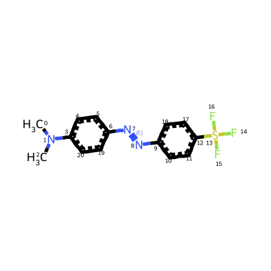 CN(C)c1ccc(/N=N/c2ccc(S(F)(F)F)cc2)cc1